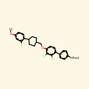 CCCCCc1ccc(-c2ccc(OCC3CCC(c4ccc(OCC)cc4F)CC3)c(F)c2F)cc1